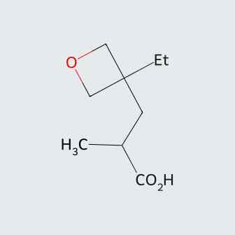 CCC1(CC(C)C(=O)O)COC1